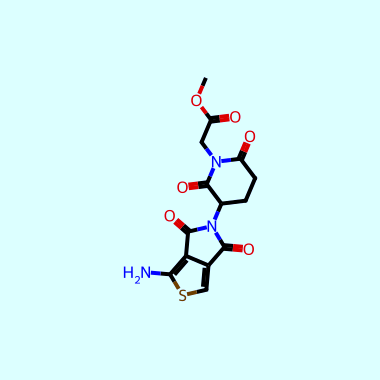 COC(=O)CN1C(=O)CCC(N2C(=O)c3csc(N)c3C2=O)C1=O